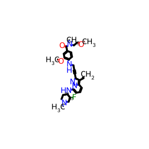 C=Cc1c(C#CCNc2ccc(C(=O)N(C)CCOC)cc2OC)nn2c(N[C@@H]3CCN(C)C[C@@H]3F)cccc12